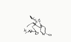 CC[C@](N=[N+]=[N-])(C(N)=O)c1cnc(Cl)cc1Cl